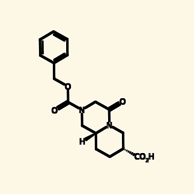 O=C(O)[C@@H]1CC[C@@H]2CN(C(=O)OCc3ccccc3)CC(=O)N2C1